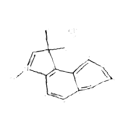 CC[N+]1=CC(C)(C)c2c1ccc1ccccc21.[Cl-]